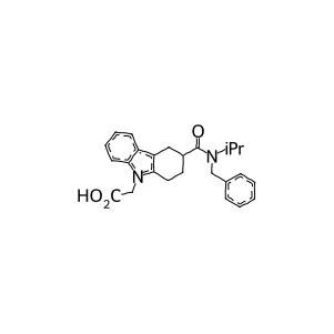 CC(C)N(Cc1ccccc1)C(=O)C1CCc2c(c3ccccc3n2CC(=O)O)C1